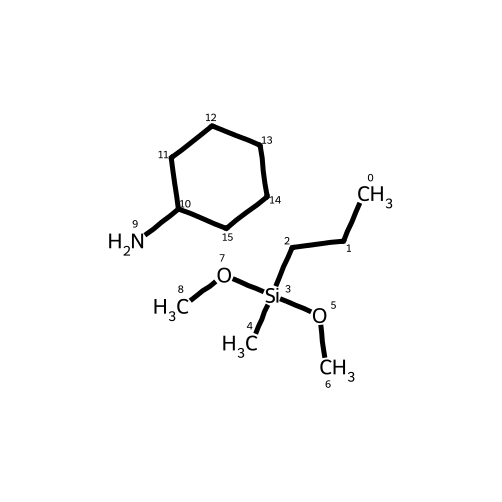 CCC[Si](C)(OC)OC.NC1CCCCC1